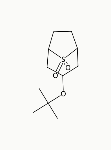 CC(C)(C)OC1CC2CCC(C1)S2(=O)=O